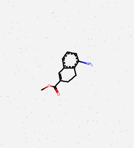 COC(=O)C1=Cc2cccc(N)c2CC1